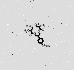 C=C(CO)C(=O)OCC(COC(=O)C(=C)COC)c1ccc(CCCCC)cc1